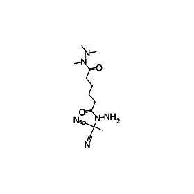 CN(C)N(C)C(=O)CCCCC(=O)N(N)C(C)(C#N)C#N